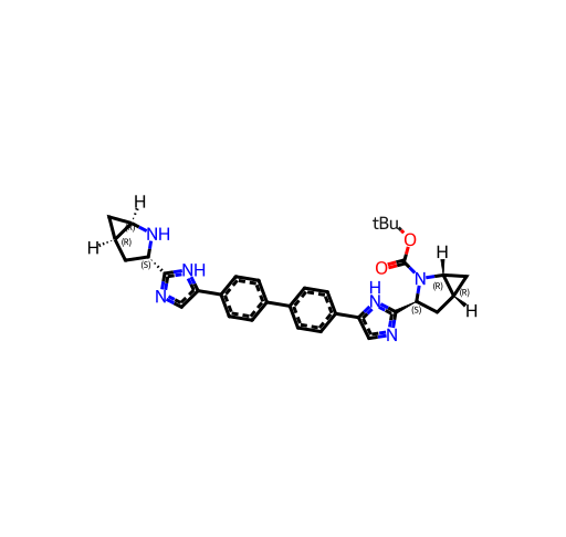 CC(C)(C)OC(=O)N1[C@@H]2C[C@@H]2C[C@H]1c1ncc(-c2ccc(-c3ccc(-c4cnc([C@@H]5C[C@H]6C[C@H]6N5)[nH]4)cc3)cc2)[nH]1